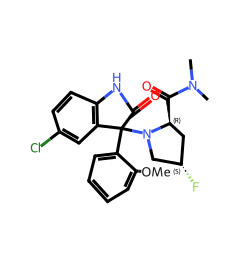 COc1ccccc1C1(N2C[C@@H](F)C[C@@H]2C(=O)N(C)C)C(=O)Nc2ccc(Cl)cc21